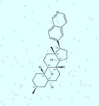 C[C@H]1CC[C@H]2[C@@H](CC[C@@H]3[C@@H]2CC[C@]2(C)[C@@H](c4ccc5cnccc5c4)CC[C@@H]32)C1